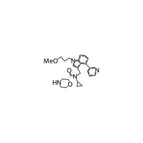 COCCCn1cc(CN(C(=O)[C@H]2CNCCO2)C2CC2)c2c(-c3cccnc3)cccc21